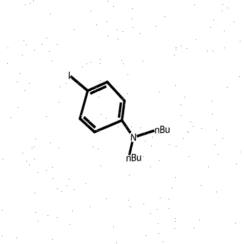 CCCCN(CCCC)c1ccc(I)cc1